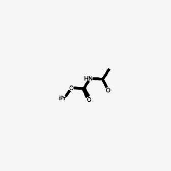 CC([O])NC(=O)OC(C)C